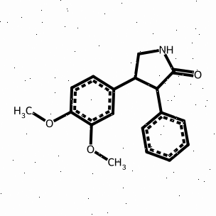 COc1ccc(C2CNC(=O)C2c2ccccc2)cc1OC